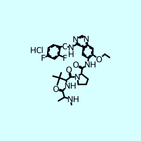 CCOc1cc2ncnc(NCc3ccc(F)cc3F)c2cc1NC(=O)C1CCCN1C(=O)C(NC(=O)C(C)NC)C(C)(C)C.Cl